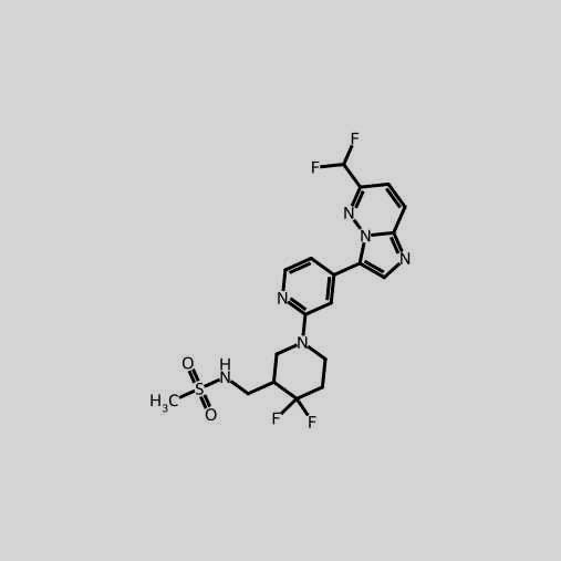 CS(=O)(=O)NCC1CN(c2cc(-c3cnc4ccc(C(F)F)nn34)ccn2)CCC1(F)F